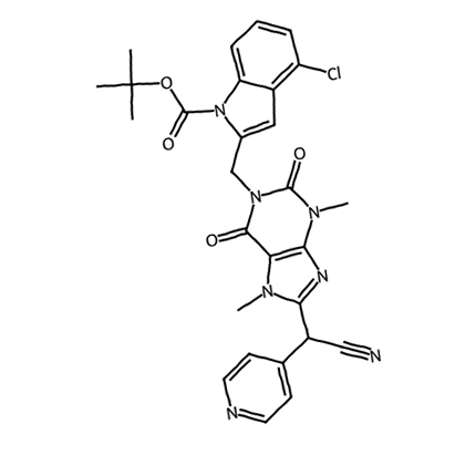 Cn1c(C(C#N)c2ccncc2)nc2c1c(=O)n(Cc1cc3c(Cl)cccc3n1C(=O)OC(C)(C)C)c(=O)n2C